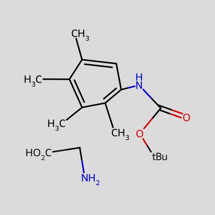 Cc1cc(NC(=O)OC(C)(C)C)c(C)c(C)c1C.NCC(=O)O